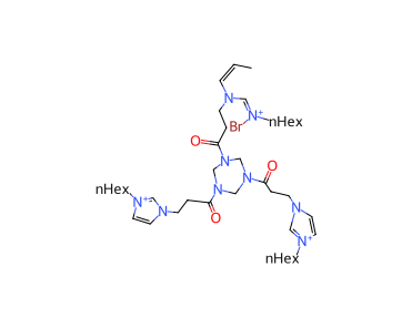 C/C=C\N(/C=[N+](\Br)CCCCCC)CCC(=O)N1CN(C(=O)CCn2cc[n+](CCCCCC)c2)CN(C(=O)CCn2cc[n+](CCCCCC)c2)C1